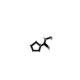 CCOC(=O)N1[CH]CCC1